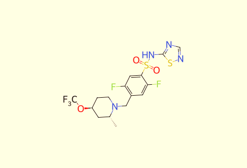 C[C@@H]1C[C@@H](OC(F)(F)F)CCN1Cc1cc(F)c(S(=O)(=O)Nc2ncns2)cc1F